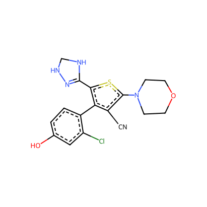 N#Cc1c(N2CCOCC2)sc(C2=NNCN2)c1-c1ccc(O)cc1Cl